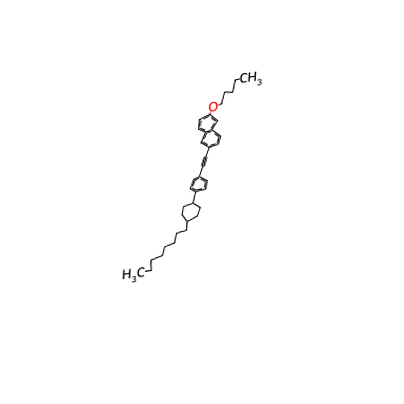 CCCCCCCCC1CCC(c2ccc(C#Cc3ccc4cc(OCCCCC)ccc4c3)cc2)CC1